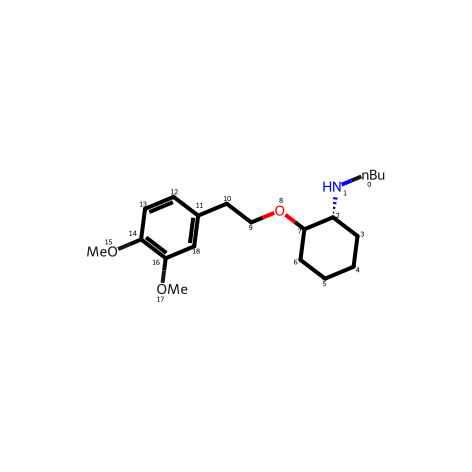 CCCCN[C@@H]1CCCCC1OCCc1ccc(OC)c(OC)c1